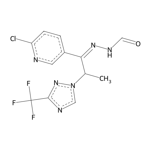 CC(C(=NNC=O)c1ccc(Cl)nc1)n1cnc(C(F)(F)F)n1